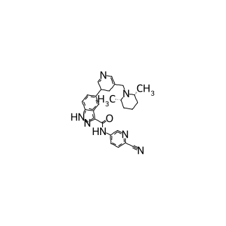 C[C@@H]1CCC[C@H](C)N1CC1=CN=CC(c2ccc3[nH]nc(C(=O)Nc4ccc(C#N)nc4)c3c2)C1